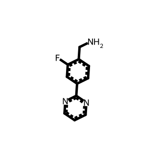 NCc1ccc(-c2ncccn2)cc1F